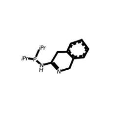 CC(C)P(NC1=NCc2ccccc2C1)C(C)C